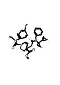 COC(=O)C1(CC(=O)N(c2ccccc2)C2(C3CC3)CC2)CCN(C(=O)N(C)c2ccc(F)cc2)CC1